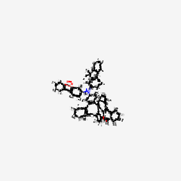 CC1(C)c2ccccc2-c2ccc(N(c3ccc4c(c3)-c3ccccc3-c3ccccc3C43c4ccccc4-c4c3c3ccccc3c3ccccc43)c3ccc4c(c3)oc3ccccc34)cc21